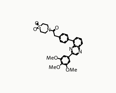 COc1cc(-c2cnc3cccc(-c4ccc(CC(=O)N5CCS(=O)(=O)CC5)cc4)c3n2)cc(OC)c1OC